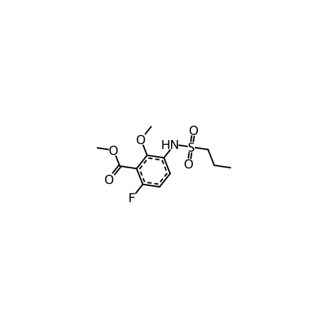 CCCS(=O)(=O)Nc1ccc(F)c(C(=O)OC)c1OC